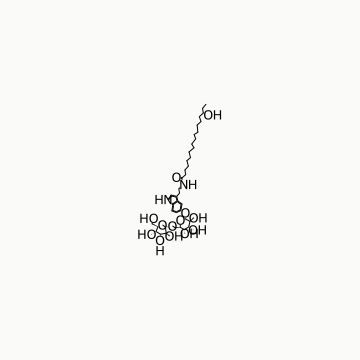 CCC(O)CCCCCCCCCCCCCCC(=O)NCCc1c[nH]c2ccc(O[C@H]3O[C@H](CO[C@H]4O[C@H](CO)[C@@H](O)[C@@H](O)[C@@H]4O)[C@@H](O)[C@@H](O)[C@@H]3O)cc12